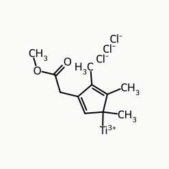 COC(=O)CC1=C[C](C)([Ti+3])C(C)=C1C.[Cl-].[Cl-].[Cl-]